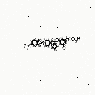 O=C(O)Cc1cc(Cl)cc(OCCC2(N3CCCC3)CCN(c3nc4ccc(C(F)(F)F)nc4s3)CC2)c1